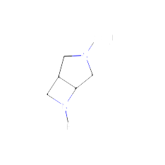 CCN1CC2CN(C(=O)O)CC21